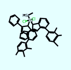 Cc1ccc(-c2cccc3c2C=C(c2ccccc2)[CH]3[Hf]([Cl])([Cl])([CH]2C(c3ccccc3)=Cc3c(-c4ccc(C)c(C)c4C)cccc32)[SiH](C)C)c(C)c1C